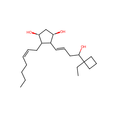 CCCC/C=C\CC1C(/C=C/CC(O)C2(CC)CCC2)[C@H](O)C[C@@H]1O